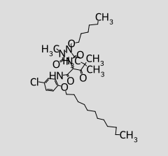 CCCCCCCCCCCCOc1ccc(Cl)cc1NC(=O)C(C(=O)C(C)(C)C)n1c(=O)n(C)n(OCCCCCC)c1=O